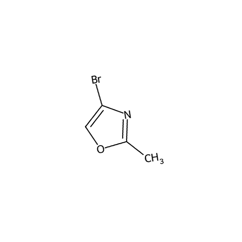 Cc1nc(Br)co1